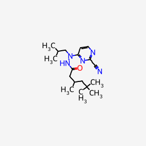 CC(C)CN(NC(=O)CC(C)CC(C)(C)C)c1ccnc(C#N)n1